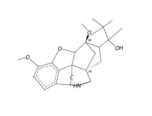 COc1ccc2c3c1OC1C34CCNC(C2)[C@@]42CC(C(C)(O)C(C)(C)C)[C@]1(OC)C2